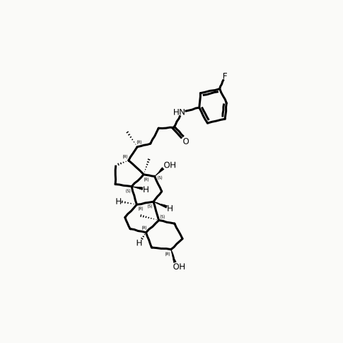 C[C@H](CCC(=O)Nc1cccc(F)c1)[C@H]1CC[C@H]2[C@@H]3CC[C@@H]4C[C@H](O)CC[C@]4(C)[C@H]3C[C@H](O)[C@]12C